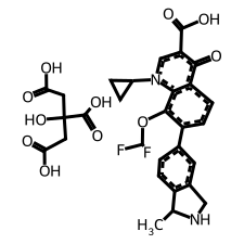 CC1NCc2cc(-c3ccc4c(=O)c(C(=O)O)cn(C5CC5)c4c3OC(F)F)ccc21.O=C(O)CC(O)(CC(=O)O)C(=O)O